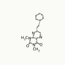 Cn1c(=O)c2ncc(/C=C/c3ccccc3)nc2n(C)c1=O